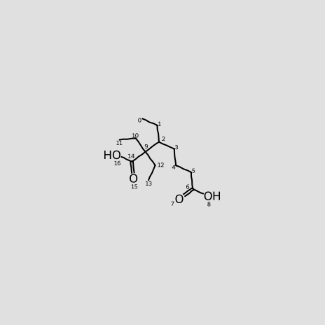 CCC(CCCC(=O)O)C(CC)(CC)C(=O)O